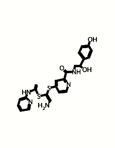 C=C(Nc1ccccn1)S/C(=C\N)Sc1ccnc(C(=O)NCC(O)c2ccc(O)cc2)c1